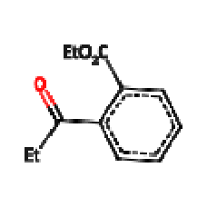 CCOC(=O)c1ccccc1C(=O)CC